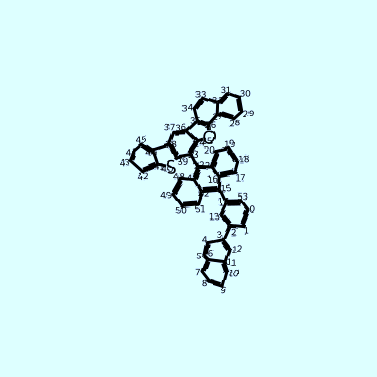 c1cc(-c2ccc3ccccc3c2)cc(-c2c3ccccc3c(-c3c4oc5c6ccccc6ccc5c4cc4c3sc3ccccc34)c3ccccc23)c1